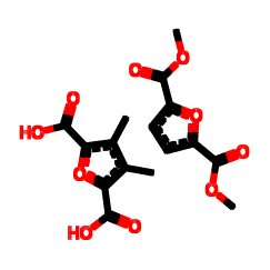 COC(=O)c1ccc(C(=O)OC)o1.Cc1c(C(=O)O)oc(C(=O)O)c1C